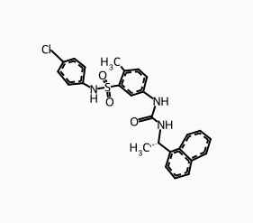 Cc1ccc(NC(=O)N[C@@H](C)c2cccc3ccccc23)cc1S(=O)(=O)Nc1ccc(Cl)cc1